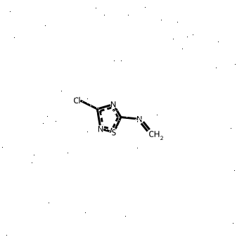 C=Nc1nc(Cl)ns1